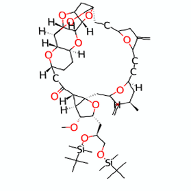 C=C1CC2CC[C@@]34CC5O[C@H]6[C@@H](O3)[C@H]3O[C@H](CC[C@@H]3O[C@H]6[C@H]5O4)CC(=O)[C@H]3[C@@H]4[C@@H](OC)[C@@H](C[C@@H](CO[Si](C)(C)C(C)(C)C)O[Si](C)(C)C(C)(C)C)O[C@@]43C[C@H]3O[C@@H](CCC1O2)C[C@@H](C)C3=C